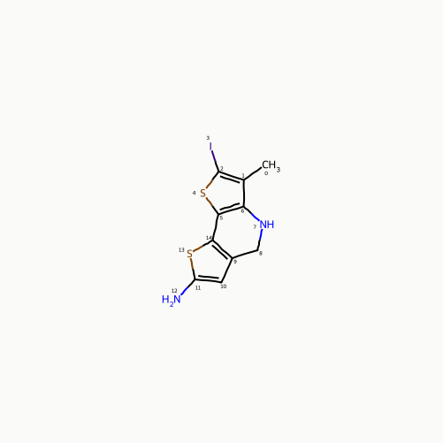 Cc1c(I)sc2c1NCc1cc(N)sc1-2